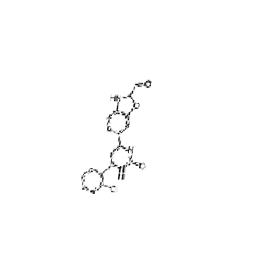 O=CC1Nc2ccc(-c3cc(-c4ccccc4Cl)[nH]c(=O)n3)cc2O1